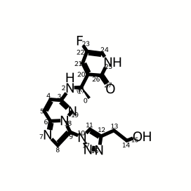 C[C@@H](Nc1ccc2ncc(-n3cc(CCO)nn3)n2n1)c1cc(F)c[nH]c1=O